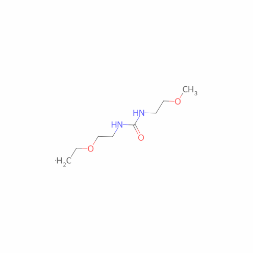 [CH2]COCCNC(=O)NCCOC